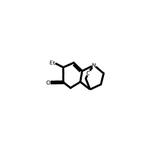 CCC1C=C2C(CC1=O)C1CCN2CC1